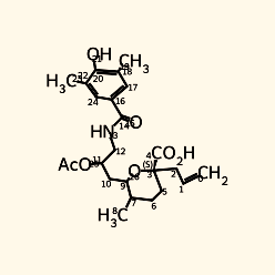 C=CC[C@]1(C(=O)O)CCC(C)C(CC(CNC(=O)c2cc(C)c(O)c(C)c2)OC(C)=O)O1